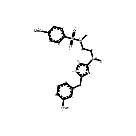 COc1ccc(S(=O)(=O)N(C)CCN(C)c2nc(Cc3cccc(OC)c3)ns2)cc1